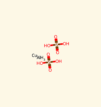 O=S(=O)(O)O.O=S(=O)(O)O.[AlH3].[Cu]